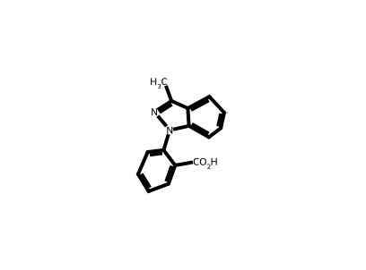 Cc1nn(-c2ccccc2C(=O)O)c2cc[c]cc12